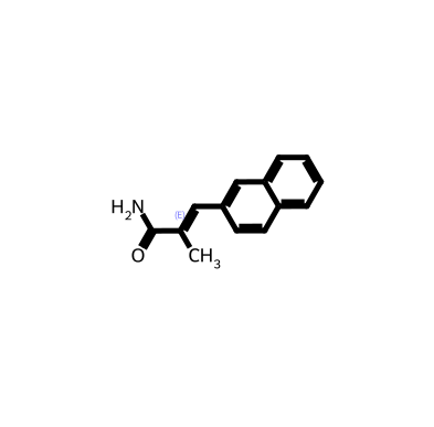 C/C(=C\c1ccc2ccccc2c1)C(N)=O